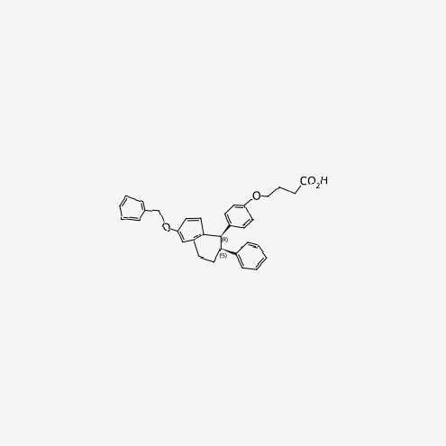 O=C(O)CCCOc1ccc([C@@H]2c3ccc(OCc4ccccc4)cc3CC[C@@H]2c2ccccc2)cc1